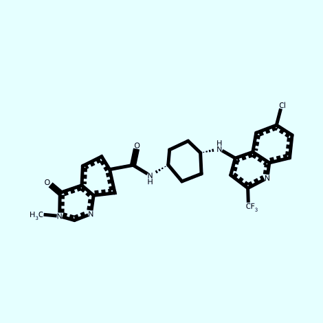 Cn1cnc2cc(C(=O)N[C@H]3CC[C@@H](Nc4cc(C(F)(F)F)nc5ccc(Cl)cc45)CC3)ccc2c1=O